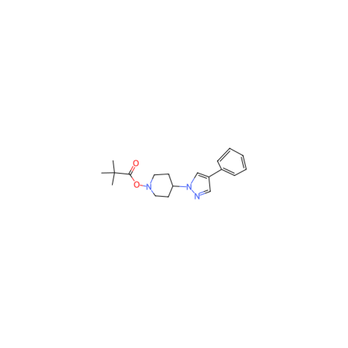 CC(C)(C)C(=O)ON1CCC(n2cc(-c3ccccc3)cn2)CC1